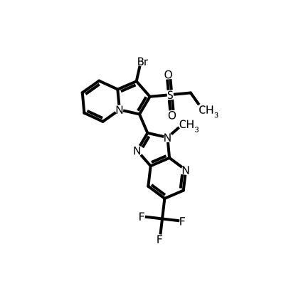 CCS(=O)(=O)c1c(Br)c2ccccn2c1-c1nc2cc(C(F)(F)F)cnc2n1C